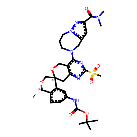 C[C@@H]1OC[C@@]2(Cc3nc(S(C)(=O)=O)nc(N4CCCn5nc(C(=O)N(C)C)cc5C4)c3CO2)c2cc(NC(=O)OC(C)(C)C)ccc21